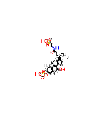 C[C@H](CCC(=O)NCCS(=O)(=O)O)[C@H]1CCC2C3C(CC[C@@]21C)[C@@]1(C)CC[C@@H](OS(=O)(=O)O)C[C@H]1C[C@H]3O